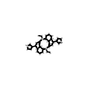 CCn1c2cc(-c3ccsc3)c3cccc(c3c2)n(CC)c2cc(-c3ccsc3)c3cccc1c3c2